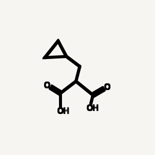 O=C(O)C(CC1CC1)C(=O)O